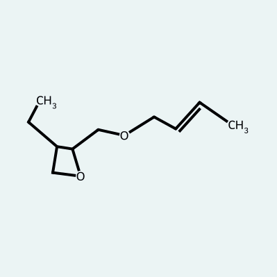 CC=CCOCC1OCC1CC